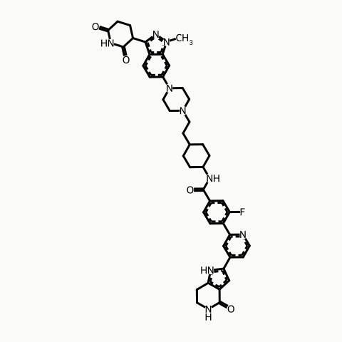 Cn1nc(C2CCC(=O)NC2=O)c2ccc(N3CCN(CCC4CCC(NC(=O)c5ccc(-c6cc(-c7cc8c([nH]7)CCNC8=O)ccn6)c(F)c5)CC4)CC3)cc21